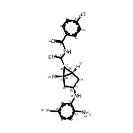 CCC(NC(=O)c1ccc(Cl)cc1)[C@H]1[C@@H]2C[C@@H](Nc3cc(F)ccc3N)C[C@@H]21